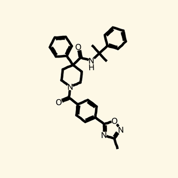 Cc1noc(-c2ccc(C(=O)N3CCC(C(=O)NC(C)(C)c4ccccc4)(c4ccccc4)CC3)cc2)n1